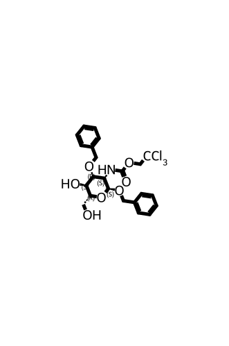 O=C(N[C@@H]1[C@@H](OCc2ccccc2)O[C@H](CO)[C@@H](O)[C@@H]1OCc1ccccc1)OCC(Cl)(Cl)Cl